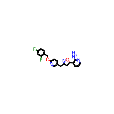 Nc1ncccc1C1CC(Cc2ccc(OCc3ccc(F)cc3F)nc2)=NO1